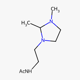 CC(=O)NCCN1CCN(C)C1C